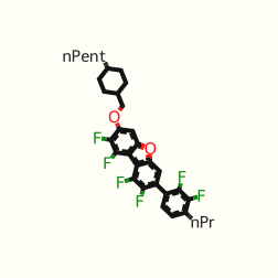 CCCCCC1CCC(COc2cc3oc4cc(-c5ccc(CCC)c(F)c5F)c(F)c(F)c4c3c(F)c2F)CC1